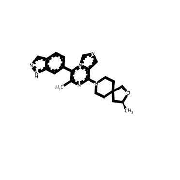 Cc1nc(N2CCC3(CC2)CO[C@@H](C)C3)c2cncn2c1-c1ccc2cn[nH]c2c1